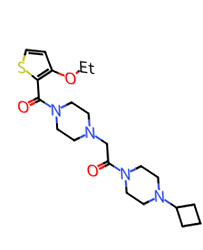 CCOc1ccsc1C(=O)N1CCN(CC(=O)N2CCN(C3CCC3)CC2)CC1